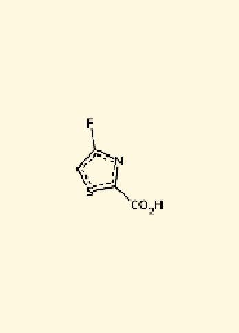 O=C(O)c1nc(F)cs1